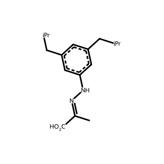 CC(=NNc1cc(CC(C)C)cc(CC(C)C)c1)C(=O)O